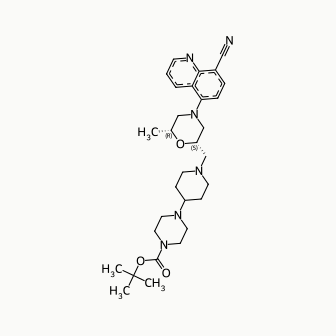 C[C@@H]1CN(c2ccc(C#N)c3ncccc23)C[C@H](CN2CCC(N3CCN(C(=O)OC(C)(C)C)CC3)CC2)O1